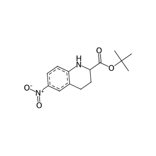 CC(C)(C)OC(=O)C1CCc2cc([N+](=O)[O-])ccc2N1